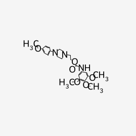 COc1ccc(N2CCN(CCOC(=O)Nc3cc(OC)c(OC)c(OC)c3)CC2)cc1